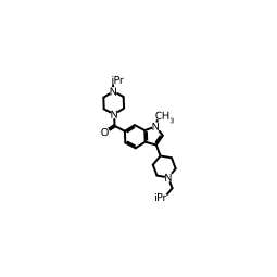 CC(C)CN1CCC(c2cn(C)c3cc(C(=O)N4CCN(C(C)C)CC4)ccc23)CC1